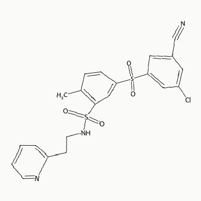 Cc1ccc(S(=O)(=O)c2cc(Cl)cc(C#N)c2)cc1S(=O)(=O)NCCc1ccccn1